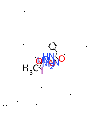 C[C@H](I)C(=O)NNC(=O)N[C@@H](Cc1ccccc1)C(N)=O